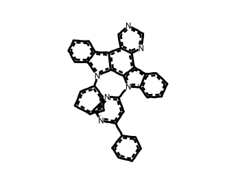 c1ccc(-c2cc(-n3c4ccccc4c4c5ncncc5c5c6ccccc6n(-c6ccccc6)c5c43)ncn2)cc1